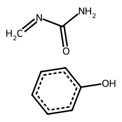 C=NC(N)=O.Oc1ccccc1